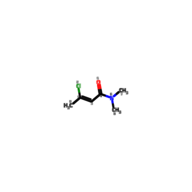 CC(Cl)=CC(=O)N(C)C